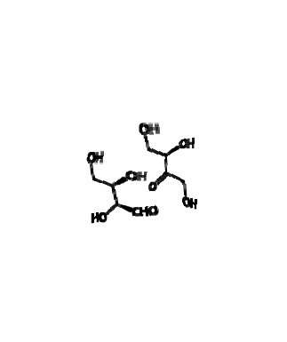 O=C(CO)[C@H](O)CO.O=C[C@@H](O)[C@H](O)CO